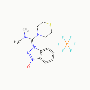 CN(C)C(N1CCSCC1)=[N+]1N=[N+]([O-])c2ccccc21.F[P-](F)(F)(F)(F)F